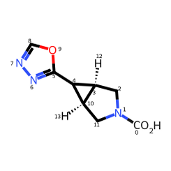 O=C(O)N1C[C@@H]2C(c3nnco3)[C@@H]2C1